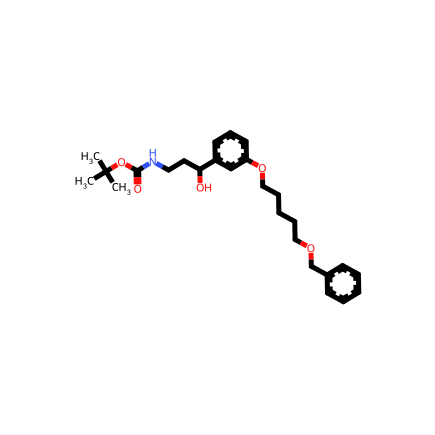 CC(C)(C)OC(=O)NCCC(O)c1cccc(OCCCCCOCc2ccccc2)c1